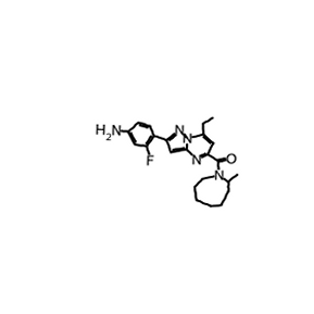 CCc1cc(C(=O)N2CCCCCCC2C)nc2cc(-c3ccc(N)cc3F)nn12